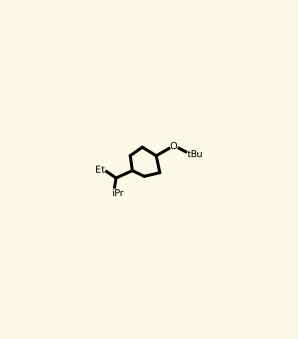 CCC(C(C)C)C1CCC(OC(C)(C)C)CC1